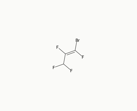 F/C(Br)=C(/F)C(F)F